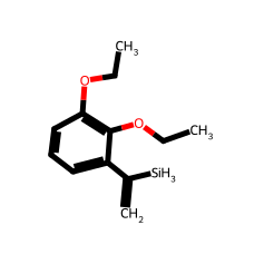 C=C([SiH3])c1cccc(OCC)c1OCC